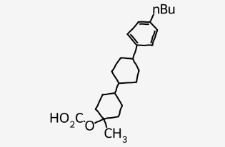 CCCCc1ccc(C2CCC(C3CCC(C)(OC(=O)O)CC3)CC2)cc1